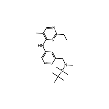 Cc1cnc(CI)nc1Nc1cccc(CN(C)[Si](C)(C)C(C)(C)C)c1